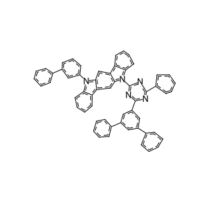 c1ccc(-c2cc(-c3ccccc3)cc(-c3nc(-c4ccccc4)nc(-n4c5ccccc5c5cc6c(cc54)c4ccccc4n6-c4cccc(-c5ccccc5)c4)n3)c2)cc1